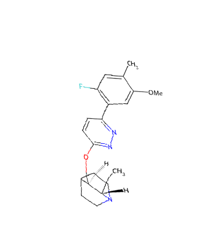 COc1cc(-c2ccc(O[C@@H]3C4CCN(CC4)[C@H]3C)nn2)c(F)cc1C